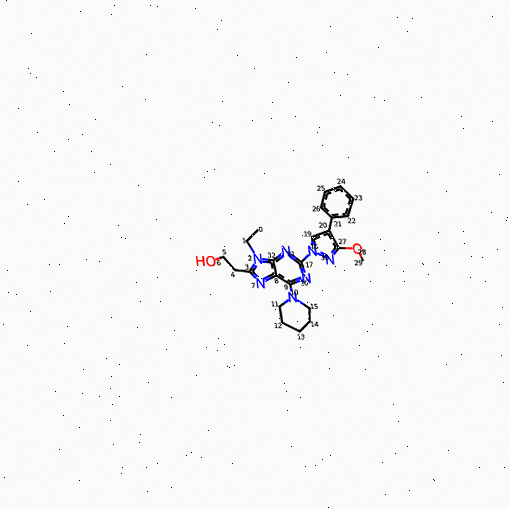 CCn1c(CCO)nc2c(N3CCCCC3)nc(-n3cc(-c4ccccc4)c(OC)n3)nc21